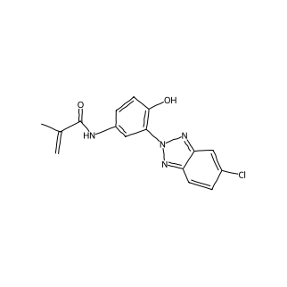 C=C(C)C(=O)Nc1ccc(O)c(-n2nc3ccc(Cl)cc3n2)c1